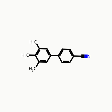 Cc1cc(-c2ccc(C#N)cc2)cc(C)c1C